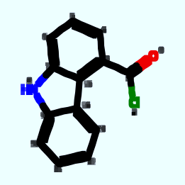 O=C(Cl)c1cccc2[nH]c3ccccc3c12